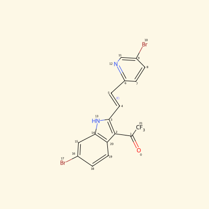 O=C(c1c(/C=C/c2ccc(Br)cn2)[nH]c2cc(Br)ccc12)C(F)(F)F